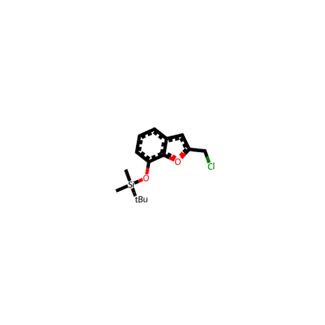 CC(C)(C)[Si](C)(C)Oc1cccc2cc(CCl)oc12